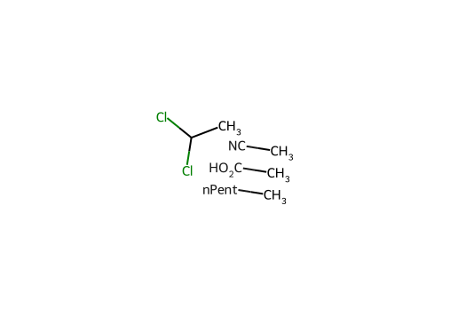 CC#N.CC(=O)O.CC(Cl)Cl.CCCCCC